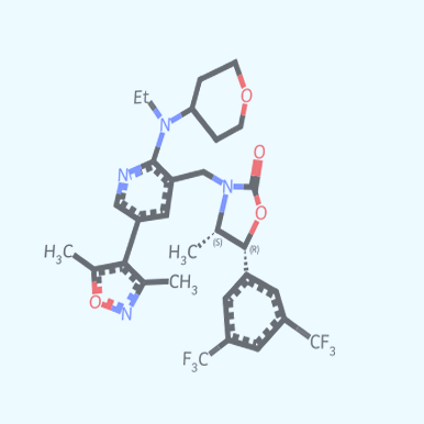 CCN(c1ncc(-c2c(C)noc2C)cc1CN1C(=O)O[C@H](c2cc(C(F)(F)F)cc(C(F)(F)F)c2)[C@@H]1C)C1CCOCC1